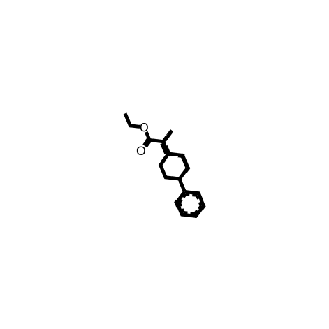 CCOC(=O)C(C)=C1CCC(c2ccccc2)CC1